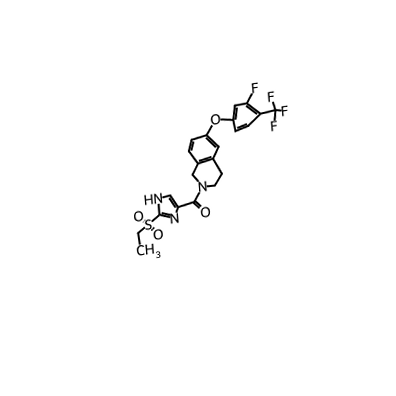 CCS(=O)(=O)c1nc(C(=O)N2CCc3cc(Oc4ccc(C(F)(F)F)c(F)c4)ccc3C2)c[nH]1